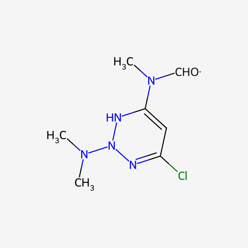 CN([C]=O)C1=CC(Cl)=NN(N(C)C)N1